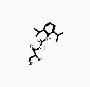 CC(C)c1cccc(C(C)C)c1NC(=O)NC(=O)C(Br)CBr